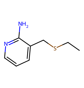 CCSCc1cccnc1N